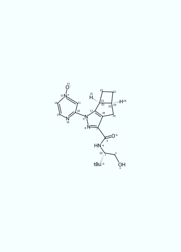 CC(C)(C)[C@@H](CO)NC(=O)c1nn(-c2c[n+]([O-])ccn2)c2c1C[C@@H]1CC[C@H]21